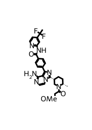 COCC(=O)N1C[C@H](c2nc(-c3ccc(C(=O)Nc4cc(C(C)(F)F)ccn4)cc3)c3c(N)nccn23)CC[C@@H]1C